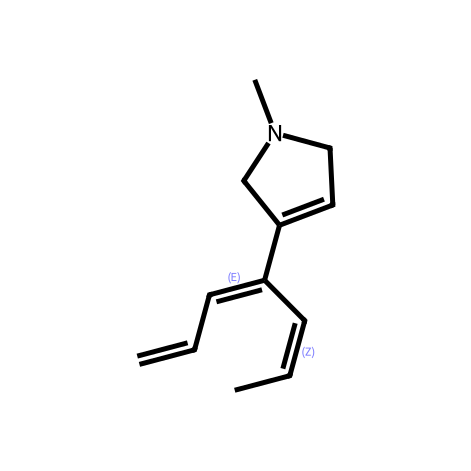 C=C/C=C(\C=C/C)C1=CCN(C)C1